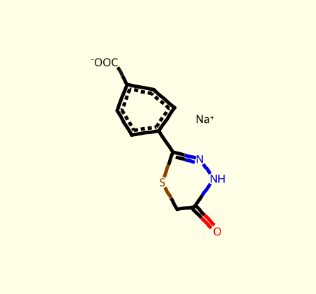 O=C1CSC(c2ccc(C(=O)[O-])cc2)=NN1.[Na+]